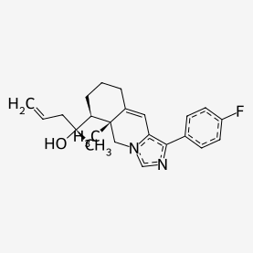 C=CC[C@@](C)(O)[C@H]1CCCC2=Cc3c(-c4ccc(F)cc4)ncn3C[C@@]21C